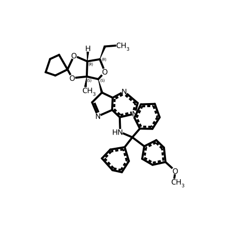 CC[C@H]1O[C@@H](C2C=Nc3c(NC(c4ccccc4)(c4ccccc4)c4ccc(OC)cc4)ncnc32)[C@]2(C)OC3(CCCC3)O[C@H]12